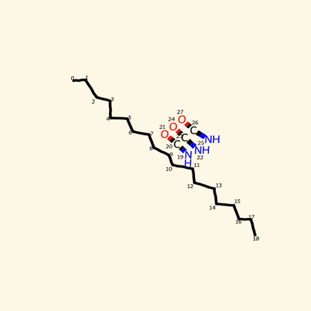 CCCCCCCCCCCCCCCCCCC.N=C=O.N=C=O.N=C=O